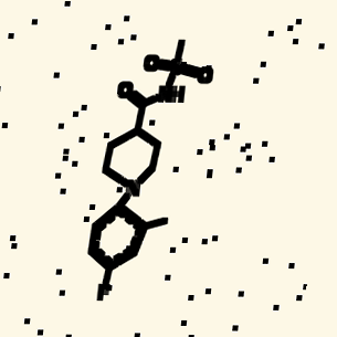 Cc1cc(F)ccc1N1CCC(C(=O)NS(C)(=O)=O)CC1